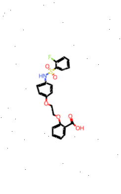 O=C(O)c1ccccc1OCCOc1ccc(NS(=O)(=O)c2ccccc2F)cc1